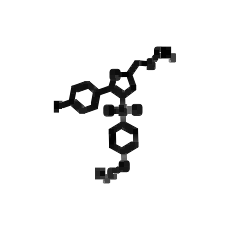 COc1ccc(S(=O)(=O)C2=C(c3ccc(F)cc3)OC(CSC)C2)cc1